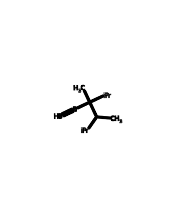 B=BC(C)(C(C)C)C(C)C(C)C